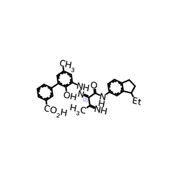 CCC1CCc2ccc(NC(=O)/C(=N\Nc3cc(C)cc(-c4cccc(C(=O)O)c4)c3O)C(C)=N)cc21